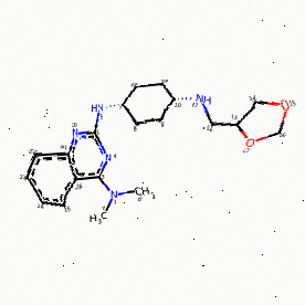 CN(C)c1nc(N[C@H]2CC[C@@H](NCC3COCO3)CC2)nc2ccccc12